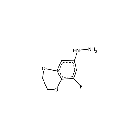 NNc1cc(F)c2c(c1)OCCO2